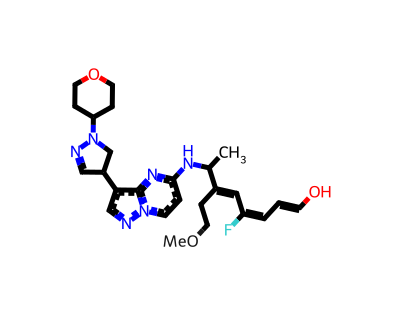 COCC\C(=C/C(F)=C\C=C\O)C(C)Nc1ccn2ncc(C3C=NN(C4CCOCC4)C3)c2n1